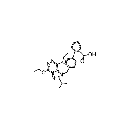 CCOc1nnc(OCC)c2c1nc(C(C)C)n2Cc1ccc(-c2ccccc2C(=O)O)cc1